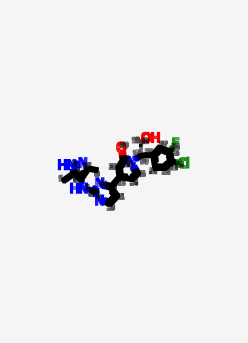 Cc1n[nH]c(C)c1Nc1nccc(-c2ccn([C@H](CO)c3ccc(Cl)c(F)c3)c(=O)c2)n1